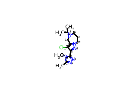 Cc1nnc(-c2nn3c(c2Cl)CN(C(C)C)CCC3)n1C